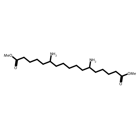 COC(=O)CCCCC(N)CCCCCC(N)CCCCC(=O)OC